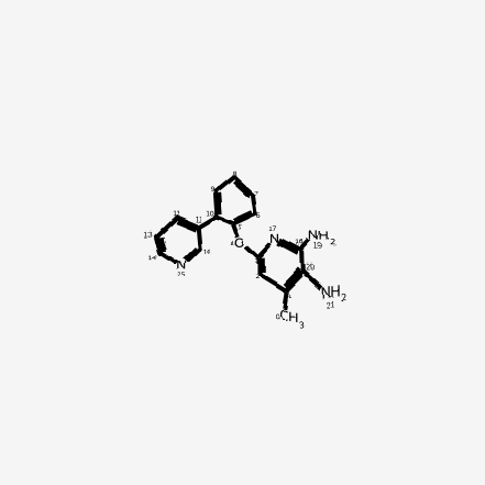 Cc1cc(Oc2ccccc2-c2cccnc2)nc(N)c1N